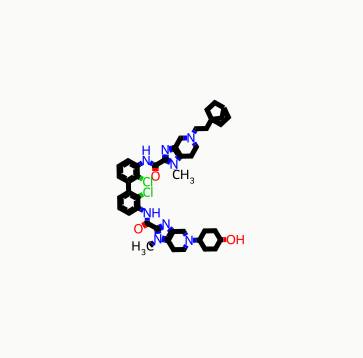 Cn1c(C(=O)Nc2cccc(-c3cccc(NC(=O)c4nc5c(n4C)CCN(C4CCC(O)CC4)C5)c3Cl)c2Cl)nc2c1CCN(CCC13CCC(CC1)C3)C2